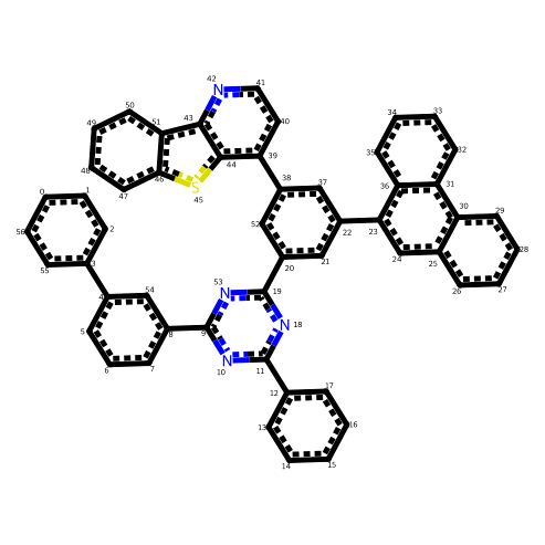 c1ccc(-c2cccc(-c3nc(-c4ccccc4)nc(-c4cc(-c5cc6ccccc6c6ccccc56)cc(-c5ccnc6c5sc5ccccc56)c4)n3)c2)cc1